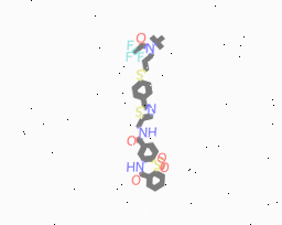 CC(C)(C)N(CCCSc1ccc(-c2ncc(CNC(=O)c3ccc4c(c3)NC(=O)c3ccccc3S4(=O)=O)s2)cc1)C(=O)C(F)(F)F